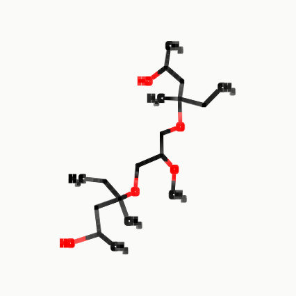 CCC(C)(CC(C)O)OCC(COC(C)(CC)CC(C)O)OC